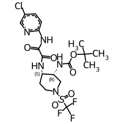 CC(C)(C)OC(=O)N[C@@H]1CN(S(=O)(=O)C(F)(F)F)CC[C@@H]1NC(=O)C(=O)Nc1ccc(Cl)cn1